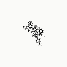 CC(=O)N1CCC(N2C[C@H]3CCN(C(=O)N(C)[C@H](C)c4cc(C(F)(F)F)cc(C(F)(F)F)c4)[C@@H](c4ccccc4C)[C@@H]3C2)CC1